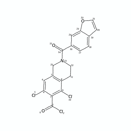 O=C(Cl)c1c(Cl)cc2c(c1Cl)CCN(C(=O)c1ccc3ccoc3c1)C2